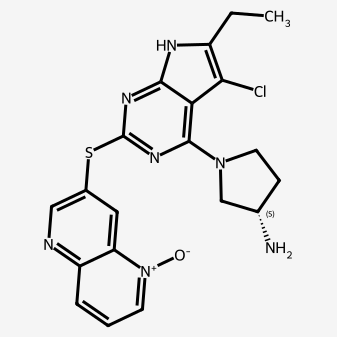 CCc1[nH]c2nc(Sc3cnc4ccc[n+]([O-])c4c3)nc(N3CC[C@H](N)C3)c2c1Cl